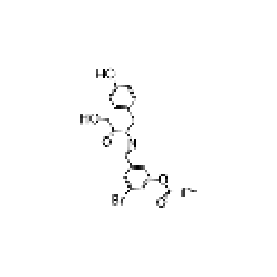 CC(C)C(=O)Oc1cc(Br)cc(C=NC(Cc2ccc(O)cc2)C(=O)CO)c1